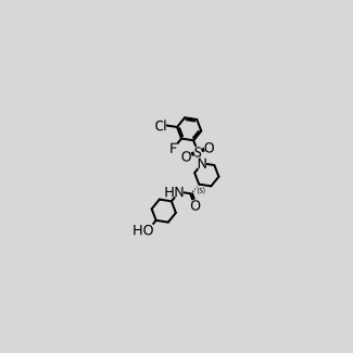 O=C(NC1CCC(O)CC1)[C@H]1CCCN(S(=O)(=O)c2cccc(Cl)c2F)C1